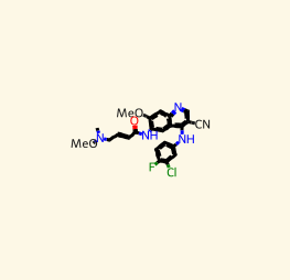 COc1cc2ncc(C#N)c(Nc3ccc(F)c(Cl)c3)c2cc1NC(=O)C=CCN(C)OC